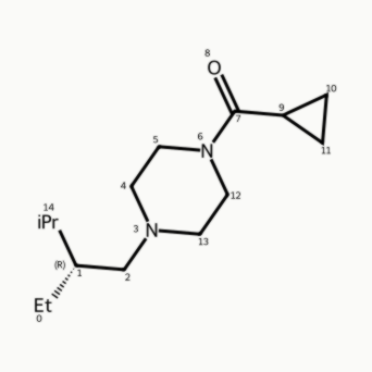 CC[C@@H](CN1CCN(C(=O)C2CC2)CC1)C(C)C